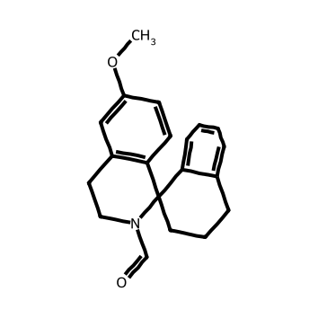 COc1ccc2c(c1)CCN(C=O)C21CCCc2ccccc21